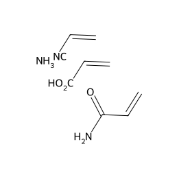 C=CC#N.C=CC(=O)O.C=CC(N)=O.N